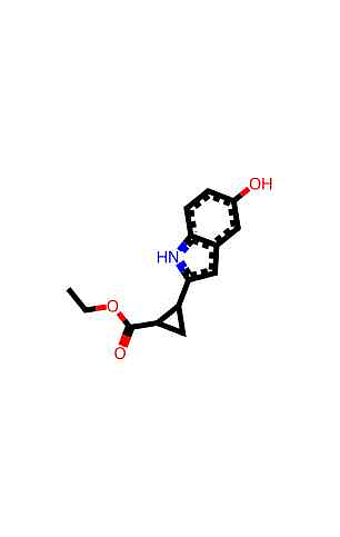 CCOC(=O)C1CC1c1cc2cc(O)ccc2[nH]1